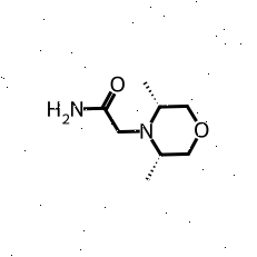 C[C@@H]1COC[C@H](C)N1CC(N)=O